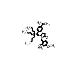 CCC[CH2][Sn]([CH2]CCC)([CH2]CCC)/[C](=C/[C@H]1CCC(=O)N1Cc1ccc(OC)cc1OC)c1ccc(C(C)C)cc1